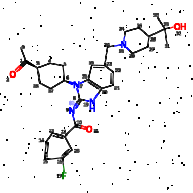 CC(=O)[C@H]1CC[C@@H](n2/c(=N/C(=O)c3cccc(F)c3)[nH]c3ccc(CN4CCC(C(C)(C)O)CC4)cc32)CC1